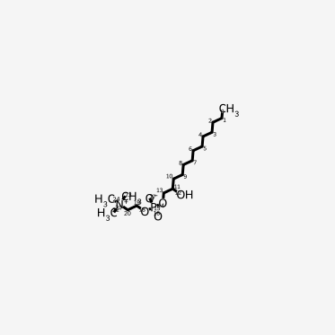 CCCCCCCCCCCC(O)COP(=O)([O-])OCC[N+](C)(C)C